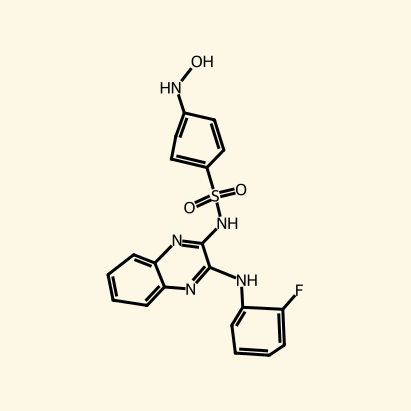 O=S(=O)(Nc1nc2ccccc2nc1Nc1ccccc1F)c1ccc(NO)cc1